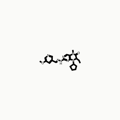 CCC1C(=O)N(C)c2cnc(NN=Cc3cncc(OC)c3)nc2N1C1CCCC1